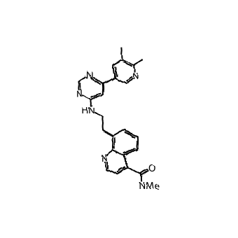 CNC(=O)c1ccnc2c(CCNc3cc(-c4cnc(C)c(C)c4)ncn3)cccc12